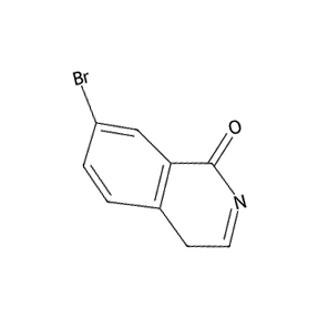 O=C1N=CCc2ccc(Br)cc21